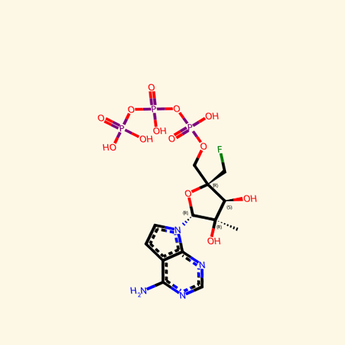 C[C@@]1(O)[C@H](O)[C@@](CF)(COP(=O)(O)OP(=O)(O)OP(=O)(O)O)O[C@H]1n1ccc2c(N)ncnc21